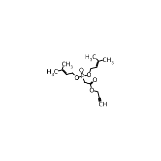 C#CCOC(=O)CP(=O)(OCC=C(C)C)OCC=C(C)C